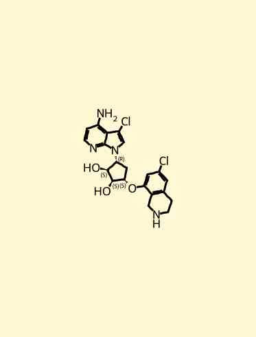 Nc1ccnc2c1c(Cl)cn2[C@@H]1C[C@H](Oc2cc(Cl)cc3c2CNCC3)[C@@H](O)[C@H]1O